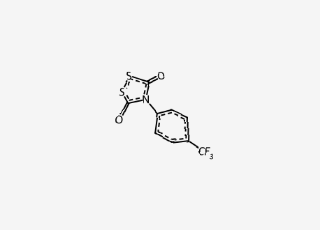 O=c1ssc(=O)n1-c1ccc(C(F)(F)F)cc1